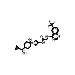 [2H]C1(N2CC(NC(=O)CNc3ncnc4ccc(C(F)(F)F)cc34)C2)CCC([C@@H](O)C2CC2)CC1